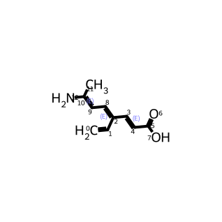 C=CC(/C=C/C(=O)O)=C\C=C(/C)N